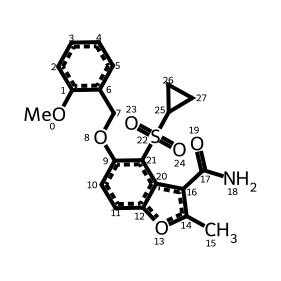 COc1ccccc1COc1ccc2oc(C)c(C(N)=O)c2c1S(=O)(=O)C1CC1